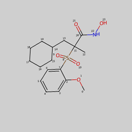 COc1ccccc1S(=O)(=O)C(C)(CC1CCCCC1)C(=O)NO